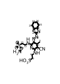 Cc1c(C#N)c(NCCS(=O)(=O)O)nc(NCCS(=O)(=O)ON)c1N=Nc1nc2ccccc2s1